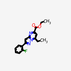 CCOC(=O)c1cc(CC)n2nc(-c3ccccc3F)cc2n1